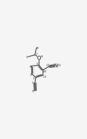 C#Cc1ccc(OC(C)C)c(C#N)c1